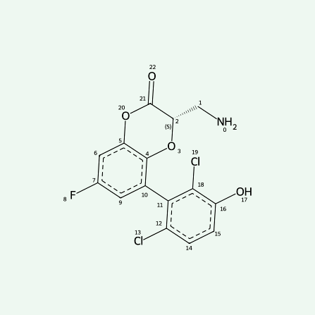 NC[C@@H]1Oc2c(cc(F)cc2-c2c(Cl)ccc(O)c2Cl)OC1=O